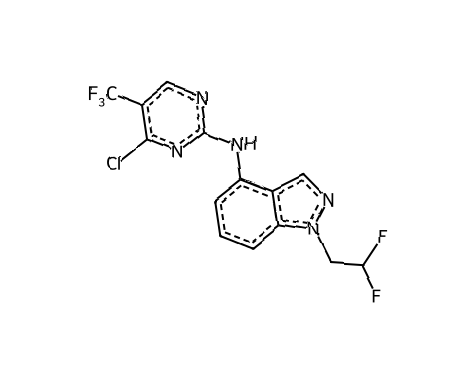 FC(F)Cn1ncc2c(Nc3ncc(C(F)(F)F)c(Cl)n3)cccc21